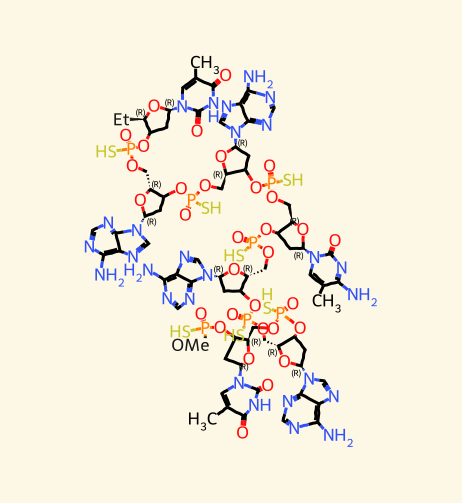 CC[C@H]1O[C@@H](n2cc(C)c(=O)[nH]c2=O)CC1OP(=O)(S)OC[C@H]1O[C@@H](n2cnc3c(N)ncnc32)CC1OP(=O)(S)OC[C@H]1O[C@@H](n2cnc3c(N)ncnc32)CC1OP(=O)(S)OC[C@H]1O[C@@H](n2cc(C)c(N)nc2=O)CC1OP(=O)(S)OC[C@H]1O[C@@H](n2cnc3c(N)ncnc32)CC1OP(=O)(S)OC[C@H]1O[C@@H](n2cnc3c(N)ncnc32)CC1OP(=O)(S)OC[C@H]1O[C@@H](n2cc(C)c(=O)[nH]c2=O)CC1OP(=O)(S)OC